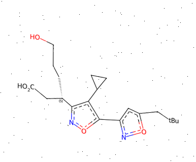 CC(C)(C)Cc1cc(-c2onc([C@@H](CCCO)CC(=O)O)c2C2CC2)no1